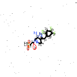 CCS(=O)(=O)CCC(=O)N1CCC([C@H](N)Cc2cc(F)c(F)cc2F)CC1